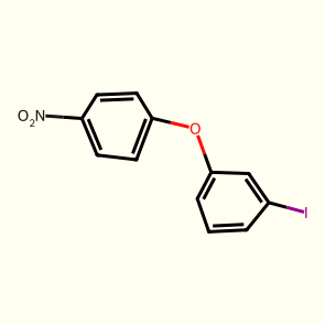 O=[N+]([O-])c1ccc(Oc2cccc(I)c2)cc1